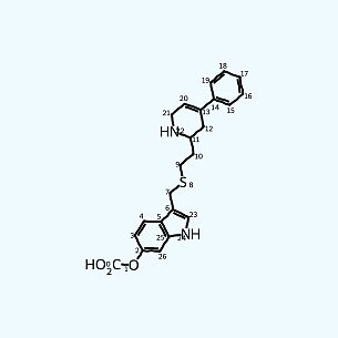 O=C(O)Oc1ccc2c(CSCCC3CC(c4ccccc4)=CCN3)c[nH]c2c1